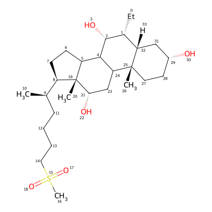 CC[C@H]1[C@@H](O)C2C3CC[C@H]([C@H](C)CCCCS(C)(=O)=O)[C@@]3(C)[C@@H](O)CC2[C@@]2(C)CC[C@@H](O)C[C@@H]12